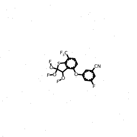 N#Cc1cc(F)cc(Oc2ccc(C(F)(F)F)c3c2C(OF)C(OF)(OF)S3)c1